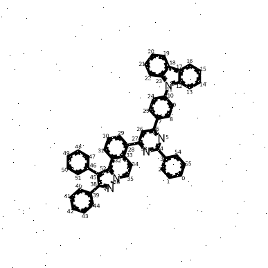 c1ccc(-c2nc(-c3ccc(-n4c5ccccc5c5ccccc54)cc3)cc(-c3cccc4c3ccn3nc(-c5ccccc5)c(-c5ccccc5)c43)n2)cc1